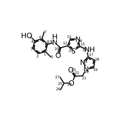 Cc1ccc(O)c(C)c1NC(=O)c1cnc(Nc2ccn(CC(=O)OC(C)C)n2)s1